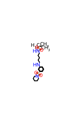 CC(C)(C)S(=O)(=O)NCCCCCNc1cccc(S(=O)(=O)N2CCCCC2)c1